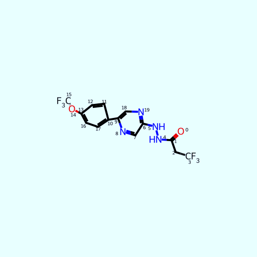 O=C(CC(F)(F)F)NNc1cnc(-c2ccc(OC(F)(F)F)cc2)cn1